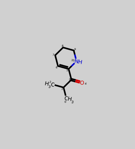 CC(C)C(=O)C1=CCCCN1